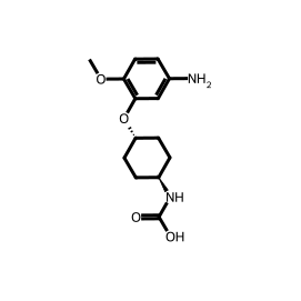 COc1ccc(N)cc1O[C@H]1CC[C@H](NC(=O)O)CC1